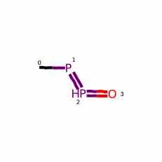 CP=[PH]=O